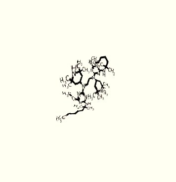 CCCCCC(C)(C)Nc1nc(OC)nc(N(CCN(c2nc(NC(C)(C)CCCCC)nc(OC)n2)C2CC(C)(C)NC(C)(C)C2)C2CC(C)(C)NC(C)(C)C2)n1